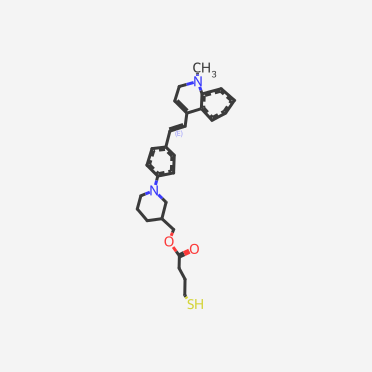 CN1CC=C(/C=C/c2ccc(N3CCCC(COC(=O)CCCS)C3)cc2)c2ccccc21